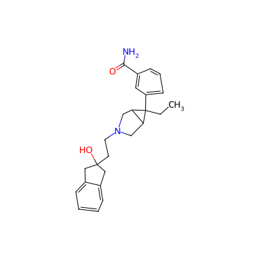 CCC1(c2cccc(C(N)=O)c2)C2CN(CCC3(O)Cc4ccccc4C3)CC21